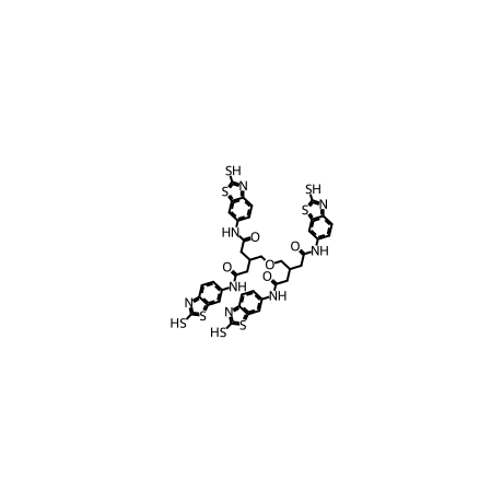 O=C(CC(COCC(CC(=O)Nc1ccc2nc(S)sc2c1)CC(=O)Nc1ccc2nc(S)sc2c1)CC(=O)Nc1ccc2nc(S)sc2c1)Nc1ccc2nc(S)sc2c1